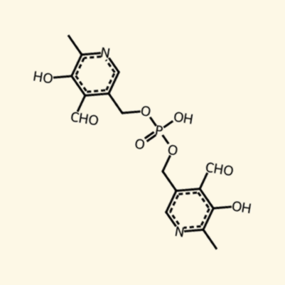 Cc1ncc(COP(=O)(O)OCc2cnc(C)c(O)c2C=O)c(C=O)c1O